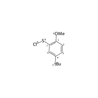 COc1ccc(C(C)(C)C)cc1SCl